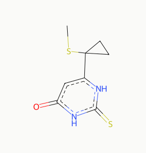 CSC1(c2cc(=O)[nH]c(=S)[nH]2)CC1